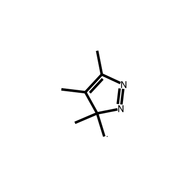 [CH2]C1(C)N=NC(C)=C1C